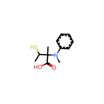 CC(S)C(C)(C(=O)O)N(C)c1ccccc1